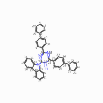 c1ccc(-c2ccc(C3=NC(n4c5ccccc5c5ccccc54)NC(c4ccc(-c5ccccc5)cc4)=N3)cc2)cc1